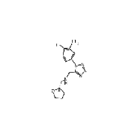 FC(F)(F)c1cc(-n2nnnc2CNC[C@@H]2CCCO2)ccc1Cl